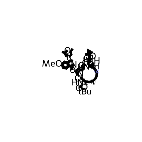 COc1ccc2c(O[C@@H]3C[C@H]4C(=O)N[C@]5(C(=O)NS(=O)(=O)C6(C)CC6)C[C@H]5/C=C\CC[C@@H](C)C[C@@H](C)[C@H](NC(=O)OC(C)(C)C)C(=O)N4C3)ncc(N3CC(C)OC(C)C3)c2c1